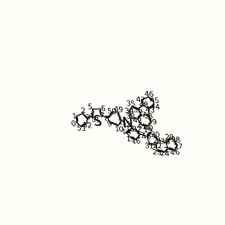 c1ccc(-c2ccc(-c3ccc(N(c4cccc(-c5ccc6c(ccc7ccccc76)c5)c4)c4ccc5c6c(cccc46)-c4ccccc4-5)cc3)s2)cc1